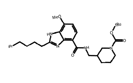 COc1ccc(C(=O)NCC2CCCN(C(=O)OC(C)(C)C)C2)c2nc(CCCCC(C)C)[nH]c12